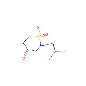 CC(C)CN1CC(=O)CCS1(=O)=O